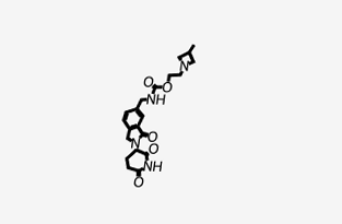 CC1CN(CCOC(=O)NCc2ccc3c(c2)C(=O)N(C2CCC(=O)NC2=O)C3)C1